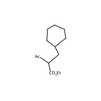 CCOC(=O)C(CC1CCCCC1)C(C)=O